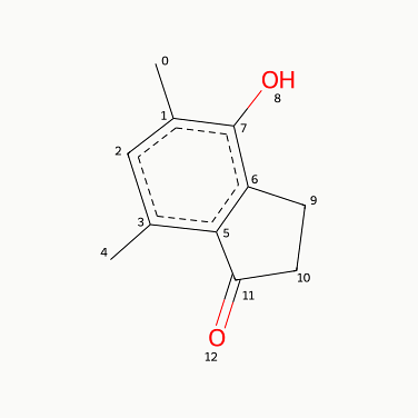 Cc1cc(C)c2c(c1O)CCC2=O